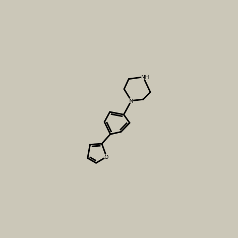 c1coc(-c2ccc(N3CCNCC3)cc2)c1